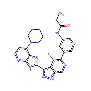 CCC(=O)Nc1cncc(-c2ncc3[nH]nc(-c4nc5c(N6CCCCC6)ccnc5[nH]4)c3c2F)c1